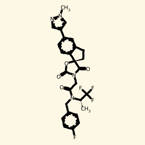 C[C@H](N(Cc1ccc(F)cc1)C(=O)CN1C(=O)O[C@@]2(CCc3cc(-c4cnn(C)c4)ccc32)C1=O)C(F)(F)F